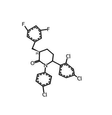 O=C1[C@@H](Cc2cc(F)cc(F)c2)CCC(c2ccc(Cl)cc2Cl)N1c1ccc(Cl)cc1